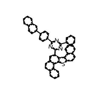 c1ccc(-c2nc(-c3ccc(-c4ccc5ccccc5c4)cc3)nc(-c3cc4ccc5ccccc5c4c4sc5ccc6ccccc6c5c34)n2)cc1